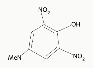 CNc1cc([N+](=O)[O-])c(O)c([N+](=O)[O-])c1